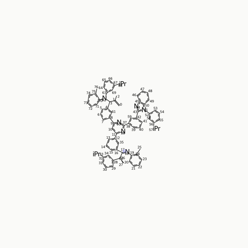 C=C(C)C(c1cccc(-c2cc(-c3cccc(/C(=N/c4ccccc4C)[C@@H](C)c4cccc(C(C)C)c4)c3)nc(-c3cccc(-c4nc5ccccc5n4-c4cccc(C(C)C)c4)c3)n2)c1)N(c1cccc(C(C)C)c1)c1ccccc1C